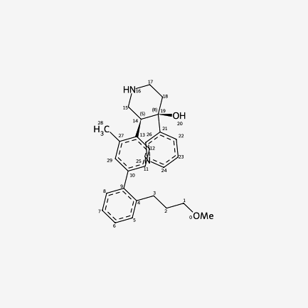 COCCCc1ccccc1-c1ccc([C@H]2CNCC[C@]2(O)c2cccnc2)c(C)c1